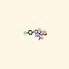 C=CCCC(NC(C)=O)(C(=O)O)C1CCN(c2ccc(Cl)cc2)C1